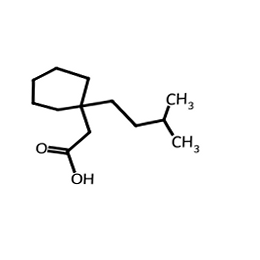 CC(C)CCC1(CC(=O)O)CCCCC1